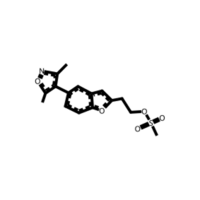 Cc1noc(C)c1-c1ccc2oc(CCOS(C)(=O)=O)cc2c1